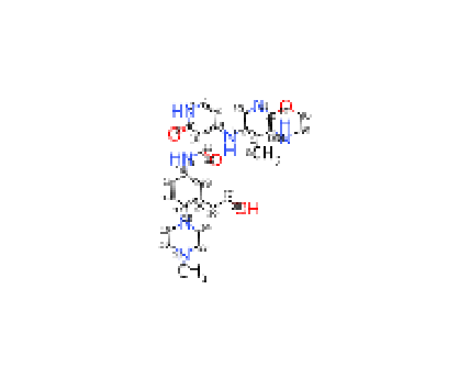 Cc1c(Nc2cc[nH]c(=O)c2C(=O)Nc2ccc(N3CCN(C)CC3)c(CCO)c2)cnc2c1NCCO2